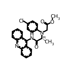 COC(=O)CN(c1ccc(Cl)cc1)[C@H](C)C(=O)Nc1c2ccccc2nc2ccccc12